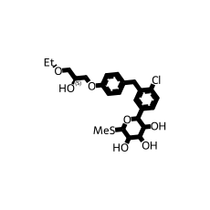 CCOC[C@H](O)COc1ccc(Cc2cc(C3OC(SC)C(O)C(O)C3O)ccc2Cl)cc1